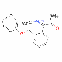 CNC(=O)/C(=N/OC)c1ccccc1COc1ccccc1